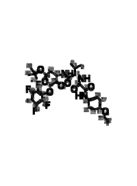 CC(C)[C@H](NC(=O)C(=O)Nc1ccc(OCF)cc1)C(=O)NC(CC(=O)OC(C)(C)C)C(=O)COc1c(F)c(F)cc(F)c1F